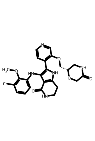 COc1c(Cl)cccc1Nc1c(-c2ccncc2OC[C@@H]2CNC(=O)CO2)[nH]c2c1C(=O)NCC2